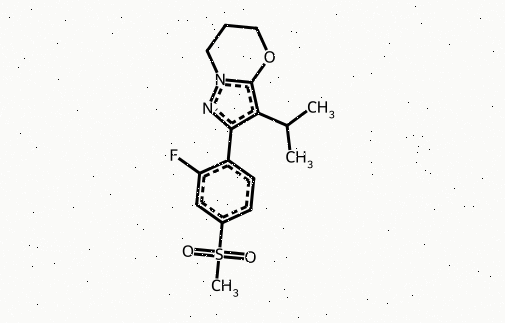 CC(C)c1c(-c2ccc(S(C)(=O)=O)cc2F)nn2c1OCCC2